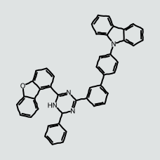 c1ccc(C2N=C(c3cccc(-c4ccc(-n5c6ccccc6c6ccccc65)cc4)c3)N=C(c3cccc4oc5ccccc5c34)N2)cc1